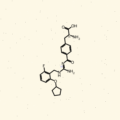 N/C(=N\C(=O)c1ccc(C[C@H](N)C(=O)O)cc1)NCc1c(F)cccc1OC1CCCC1